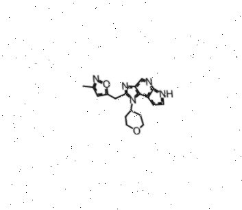 Cc1cc(Cc2nc3cnc4[nH]ccc4c3n2C2CCOCC2)on1